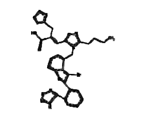 CCCCc1ncc(/C=C(\Cc2cccs2)C(=O)O)n1Cc1cccc2oc(-c3ccccc3-c3nnn[nH]3)c(Br)c12